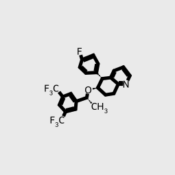 C[C@@H](O[C@H]1CCc2ncccc2[C@H]1c1ccc(F)cc1)c1cc(C(F)(F)F)cc(C(F)(F)F)c1